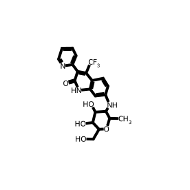 CC1OC(CO)C(O)C(O)C1Nc1ccc2c(C(F)(F)F)c(-c3ccccn3)c(=O)[nH]c2c1